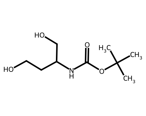 CC(C)(C)OC(=O)NC(CO)CCO